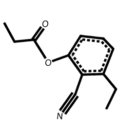 CCC(=O)Oc1cccc(CC)c1C#N